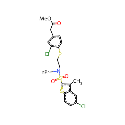 CCCN(CCSc1ccc(CC(=O)OC)cc1Cl)S(=O)(=O)c1sc2ccc(Cl)cc2c1C